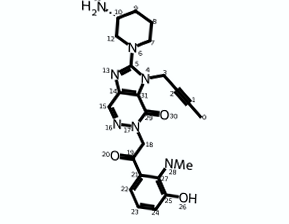 CC#CCn1c(N2CCC[C@@H](N)C2)nc2cnn(CC(=O)c3cccc(O)c3NC)c(=O)c21